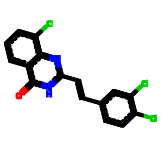 O=c1[nH]c(/C=C/c2ccc(Cl)c(Cl)c2)nc2c(Cl)cccc12